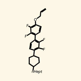 C=CCOc1ccc(-c2ccc(C3CCC(CCCCCCC)CC3)c(F)c2F)c(F)c1F